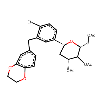 CCc1ccc([C@H]2C[C@@H](OC(C)=O)C(OC(C)=O)[C@@H](COC(C)=O)O2)cc1Cc1ccc2c(c1)OCCO2